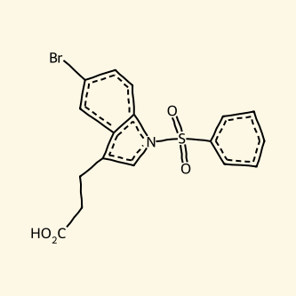 O=C(O)CCc1cn(S(=O)(=O)c2ccccc2)c2ccc(Br)cc12